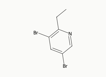 CCc1ncc(Br)cc1Br